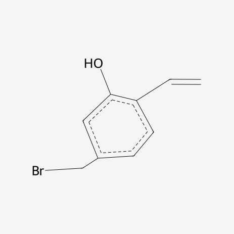 C=Cc1ccc(CBr)cc1O